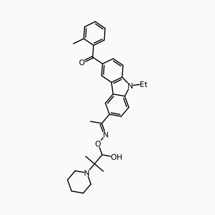 CCn1c2ccc(C(=O)c3ccccc3C)cc2c2cc(/C(C)=N/OC(O)C(C)(C)N3CCCCC3)ccc21